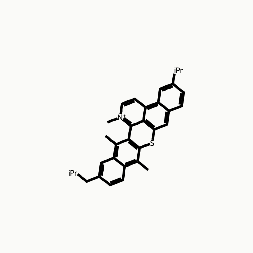 Cc1c2c(c(C)c3cc(CC(C)C)ccc13)-c1c3c(cc4ccc(C(C)C)cc4c3cc[n+]1C)S2